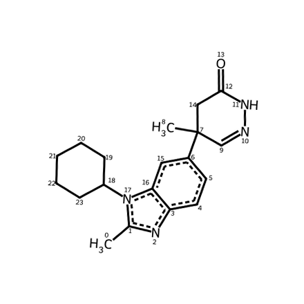 Cc1nc2ccc(C3(C)C=NNC(=O)C3)cc2n1C1CCCCC1